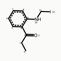 CCC(=O)c1ccccc1NCI